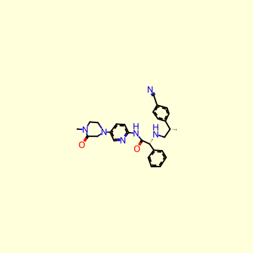 C[C@H](CN[C@@H](C(=O)Nc1ccc(N2CCN(C)C(=O)C2)cn1)c1ccccc1)c1ccc(C#N)cc1